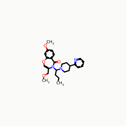 CCCC(N1CCC(c2ccccn2)CC1)N1C(=O)c2ccc(OC)cc2OC=C1COC